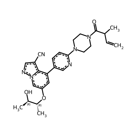 C=CC(C)C(=O)N1CCN(c2ccc(-c3cc(O[C@H](C)[C@@H](C)O)cn4ncc(C#N)c34)cn2)CC1